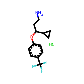 Cl.NCCC(Oc1ccc(C(F)(F)F)cc1)C1CC1